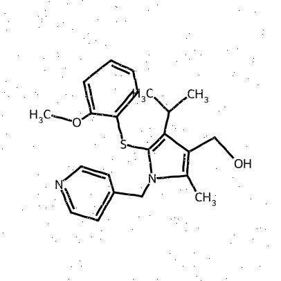 COc1ccccc1Sc1c(C(C)C)c(CO)c(C)n1Cc1ccncc1